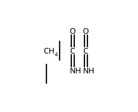 C.CC.CC.N=C=O.N=C=O